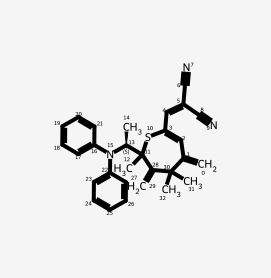 C=C1C=C(C=C(C#N)C#N)SC(C)([C@H](C)N(c2ccccc2)c2ccccc2)C(=C)C1(C)C